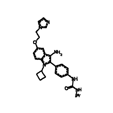 CC(C)NC(=O)Nc1ccc(-c2c(N)c3cc(OCCn4ccnc4)ccc3n2C2CCC2)cc1